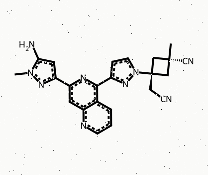 Cn1nc(-c2cc3ncccc3c(-c3ccn([C@]4(CC#N)C[C@](C)(C#N)C4)n3)n2)cc1N